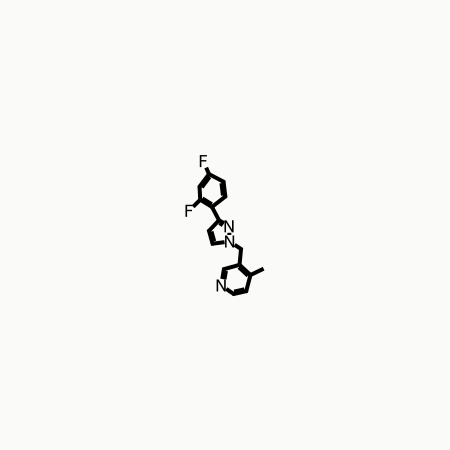 Cc1ccncc1Cn1ccc(-c2ccc(F)cc2F)n1